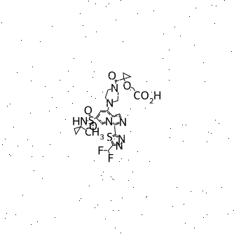 CC1(NS(=O)(=O)c2cc(N3CCN(C(=O)C4(OCC(=O)O)CC4)CC3)c3cnc(-c4nnc(C(F)F)s4)n3c2)CC1